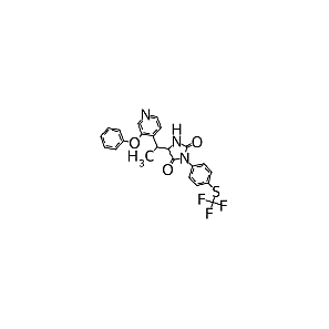 CC(c1ccncc1Oc1ccccc1)C1NC(=O)N(c2ccc(SC(F)(F)F)cc2)C1=O